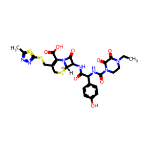 CCN1CCN(C(=O)NC(C(=O)NC2C(=O)N3C(C(=O)O)=C(CSc4nnc(C)s4)CS[C@@H]23)c2ccc(O)cc2)C(=O)C1=O